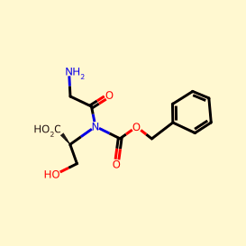 NCC(=O)N(C(=O)OCc1ccccc1)[C@@H](CO)C(=O)O